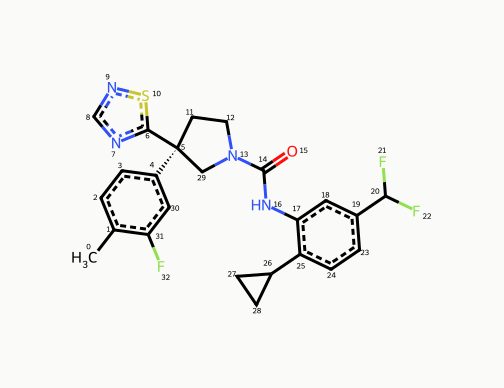 Cc1ccc([C@]2(c3ncns3)CCN(C(=O)Nc3cc(C(F)F)ccc3C3CC3)C2)cc1F